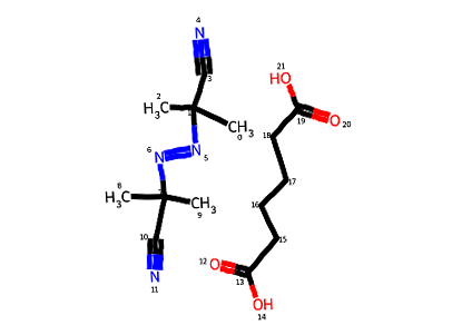 CC(C)(C#N)/N=N/C(C)(C)C#N.O=C(O)CCCCC(=O)O